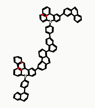 c1ccc(-c2cccc(N(c3ccc(-c4cccc5ccccc45)cc3)c3ccc(-c4ccc5ccc6c(-c7cccc8cc(-c9ccc(N(c%10ccccc%10)c%10ccc(-c%11ccc%12ccc%13ccccc%13c%12c%11)cc%10-c%10ccccc%10)cc9)ccc78)cccc6c5c4)cc3-c3ccccc3)c2)cc1